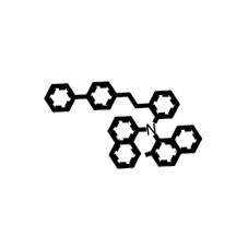 Cc1ccc2ccccc2c1N(c1ccccc1CCc1ccc(-c2ccccc2)cc1)c1cccc2ccccc12